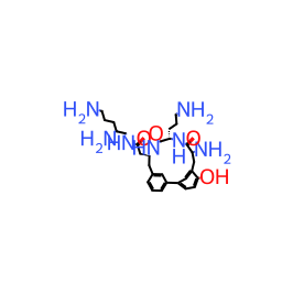 NCCC[C@H](N)CNC(=O)C[C@@H]1Cc2cccc(c2)-c2ccc(O)c(c2)C[C@H](N)C(=O)N[C@@H](CCCN)C(=O)N1